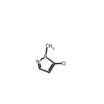 CN1[N+]=CC=C1Cl